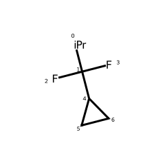 CC(C)C(F)(F)C1CC1